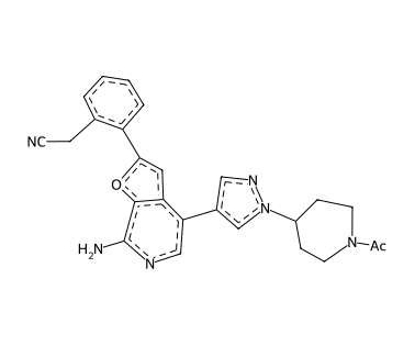 CC(=O)N1CCC(n2cc(-c3cnc(N)c4oc(-c5ccccc5CC#N)cc34)cn2)CC1